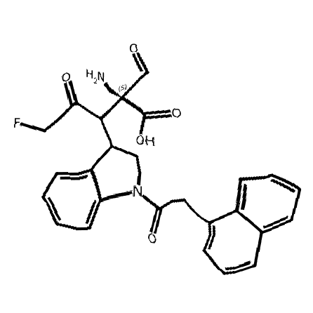 N[C@@](C=O)(C(=O)O)C(C(=O)CF)C1CN(C(=O)Cc2cccc3ccccc23)c2ccccc21